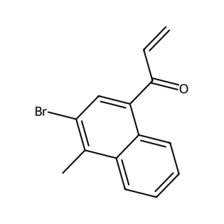 C=CC(=O)c1cc(Br)c(C)c2ccccc12